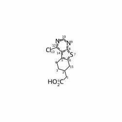 O=C(O)CC1CCc2c(sc3ncnc(Cl)c23)C1